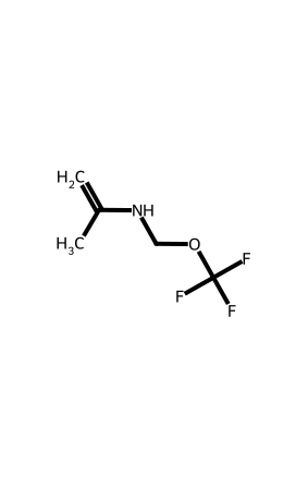 C=C(C)NCOC(F)(F)F